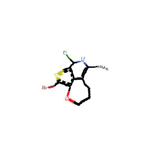 CNC1=C2CCCOc3c(Br)sc(c32)C(Cl)N1